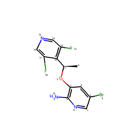 C[C@@H](Oc1cc(Br)cnc1N)c1c(F)cncc1F